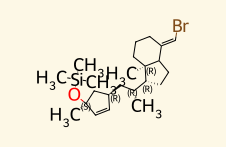 C[C@H](C[C@H]1C=C[C@@](C)(O[Si](C)(C)C)C1)[C@H]1CCC2C(=CBr)CCC[C@@]21C